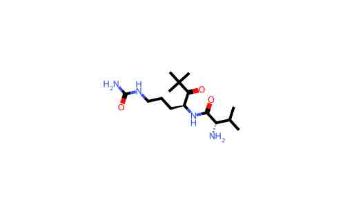 CC(C)[C@H](N)C(=O)N[C@@H](CCCNC(N)=O)C(=O)C(C)(C)C